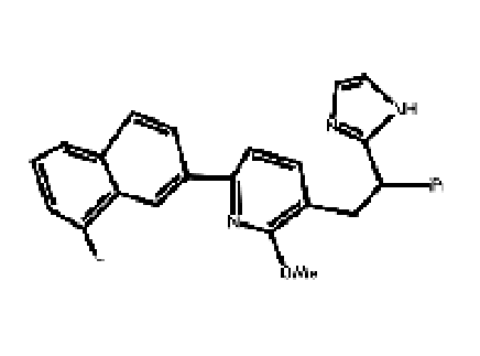 COc1nc(-c2ccc3cccc(F)c3c2)ccc1CC(c1ncc[nH]1)C(C)C